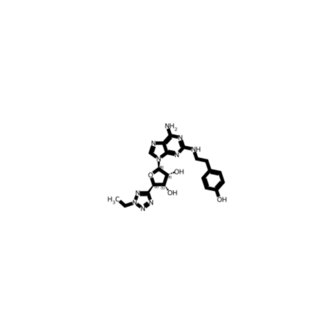 CCn1nnc([C@H]2O[C@@H](n3cnc4c(N)nc(NCCc5ccc(O)cc5)nc43)[C@H](O)[C@@H]2O)n1